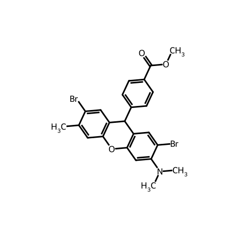 COC(=O)c1ccc(C2c3cc(Br)c(C)cc3Oc3cc(N(C)C)c(Br)cc32)cc1